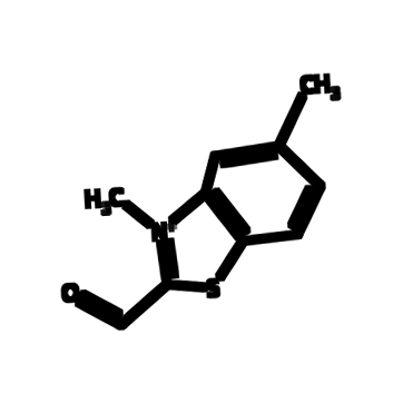 Cc1ccc2sc(C=O)[n+](C)c2c1